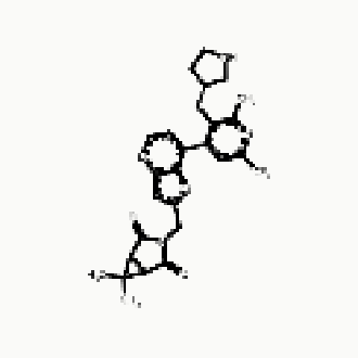 Cc1nc(C(F)(F)F)cc(-c2ccnc3cc(CN4C(=O)C5C(C4=O)C5(C)C)sc23)c1C[C@H]1CCNC1